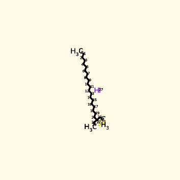 CCCCCCCCCCCCCCCCCCCCCC(S)(CC)CC.I